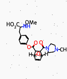 CONC(Cc1ccc(OC(=O)C2C(C(=O)N3CCN(C)CC3)[C@@H]3C=C[C@H]2O3)cc1)C(=O)O